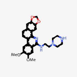 COc1cc2c(NCCN3CCNCC3)nc3c4cc5c(cc4ccc3c2cc1OC)OCO5